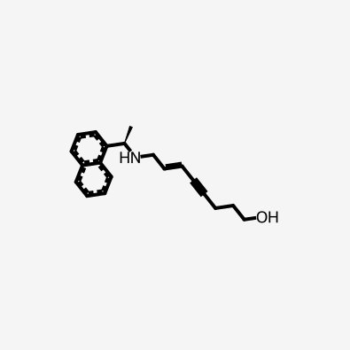 C[C@@H](NC/C=C/C#CCCCO)c1cccc2ccccc12